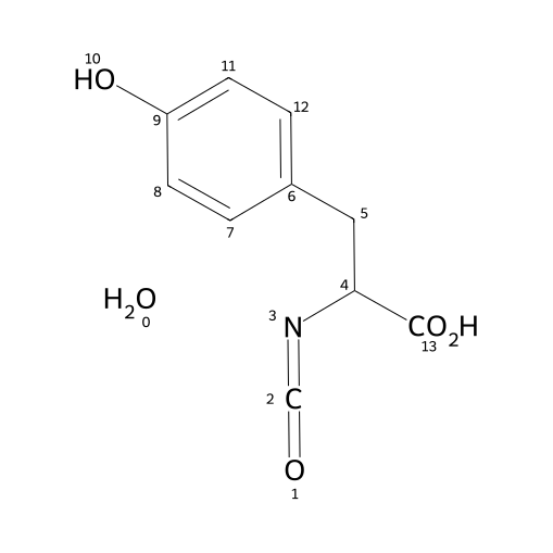 O.O=C=NC(Cc1ccc(O)cc1)C(=O)O